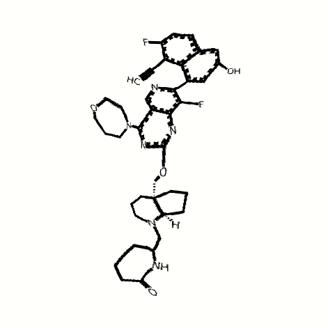 C#Cc1c(F)ccc2cc(O)cc(-c3ncc4c(N5CCCOCC5)nc(OC[C@]56CCC[C@H]5N(CC5CCCC(=O)N5)CCC6)nc4c3F)c12